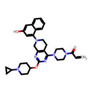 C=CC(=O)N1CCN(c2nc(OC3CCN(C4CC4)CC3)nc3c2CCN(c2cc(O)cc4ccccc24)C3)CC1